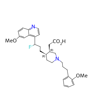 COc1ccc2nccc(C(F)CC[C@@H]3CCN(CCCc4ccccc4OC)C[C@@H]3CC(=O)O)c2c1